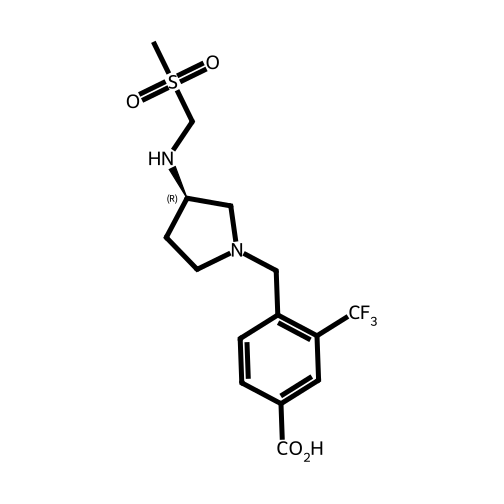 CS(=O)(=O)CN[C@@H]1CCN(Cc2ccc(C(=O)O)cc2C(F)(F)F)C1